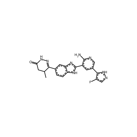 CC1CC(=O)NN=C1c1ccc2[nH]c(-c3cc(-c4[nH]ncc4F)cnc3N)nc2c1